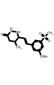 COc1cc(/C=C/C2NNC(=O)CC2C)cc(S(C)(=O)=O)c1